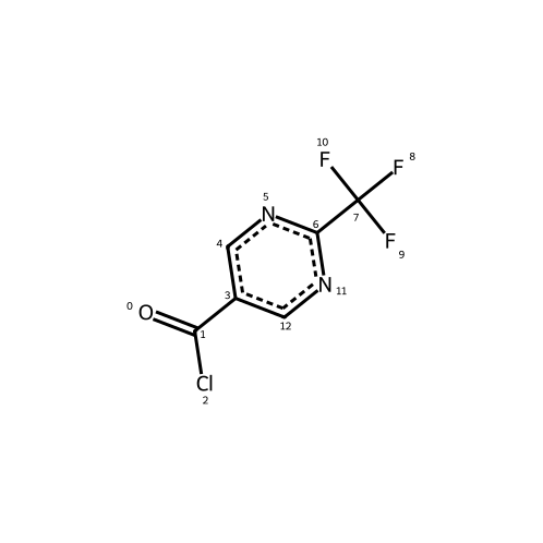 O=C(Cl)c1cnc(C(F)(F)F)nc1